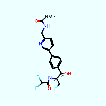 CNC(=O)NCc1ccc(-c2ccc([C@H](O)[C@@H](CF)NC(=O)C(F)F)cc2)cn1